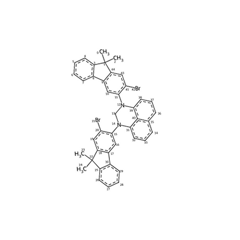 CC1(C)c2ccccc2-c2cc(N3CN(c4cc5c(cc4Br)C(C)(C)c4ccccc4-5)c4cccc5cccc3c45)c(Br)cc21